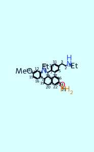 CCNCCc1ccc(CN(CC)c2cc(OC)ccc2[C@@H]2CCc3cc(OP)ccc3C2)cc1